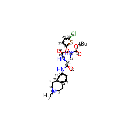 CN1CCc2ccc(NC(=O)[C@@H](CNC(=O)OC(C)(C)C)NC(=O)Oc3ccc(Cl)s3)cc2CC1